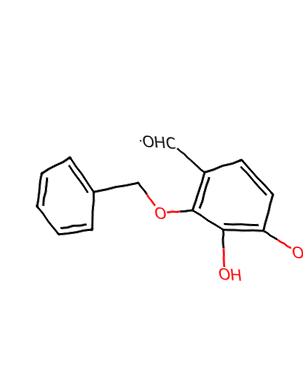 O=[C]c1ccc(O)c(O)c1OCc1ccccc1